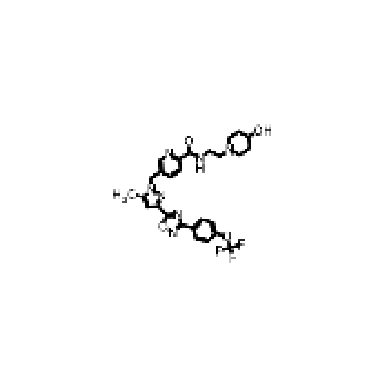 Cc1cc(-c2nc(-c3ccc(OC(F)(F)F)cc3)no2)nn1Cc1ccc(C(=O)NCCN2CCC(O)CC2)nc1